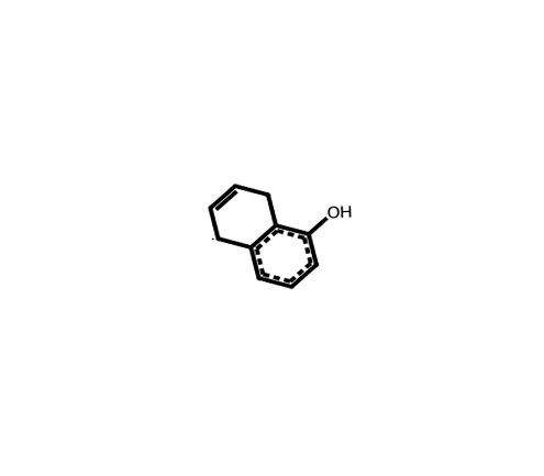 Oc1cccc2c1CC=C[CH]2